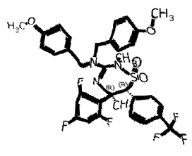 COc1ccc(CN(Cc2ccc(OC)cc2)C2=N[C@](C)(c3c(F)cc(F)cc3F)[C@@H](c3ccc(C(F)(F)F)cc3)S(=O)(=O)N2C)cc1